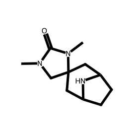 CN1CC2(CC3CCC(C2)N3)N(C)C1=O